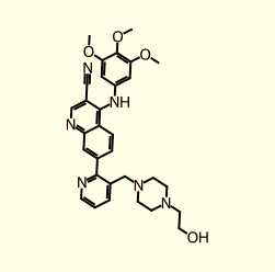 COc1cc(Nc2c(C#N)cnc3cc(-c4ncccc4CN4CCN(CCO)CC4)ccc23)cc(OC)c1OC